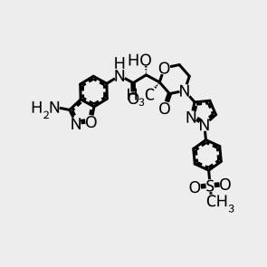 C[C@]1([C@@H](O)C(=O)Nc2ccc3c(N)noc3c2)OCCN(c2ccn(-c3ccc(S(C)(=O)=O)cc3)n2)C1=O